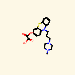 CN1CCN(CCCN2c3ccccc3Sc3ccccc32)CC1.O=C(O)C(=O)O